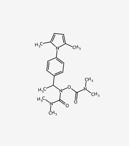 Cc1ccc(C)n1-c1ccc(C(C)N(OC(=O)N(C)C)C(=O)N(C)C)cc1